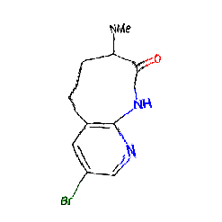 CNC1CCc2cc(Br)cnc2NC1=O